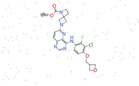 CC(C)(C)OC(=O)N1CCC12CN(c1ccc3ncnc(Nc4ccc(OCC5COC5)c(Cl)c4F)c3n1)C2